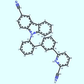 N#Cc1ccc2c(c1)c1ccccc1n2-c1ccccc1-c1cccc(-c2cccc(C#N)n2)c1